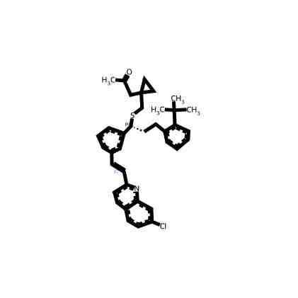 CC(=O)CC1(CS[C@H](CCc2ccccc2C(C)(C)C)c2cccc(/C=C/c3ccc4ccc(Cl)cc4n3)c2)CC1